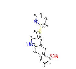 Oc1cccc2c1CC1CC(CSc3ccccn3)CNC1C2